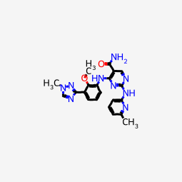 COc1c(Nc2nc(Nc3cccc(C)n3)ncc2C(N)=O)cccc1-c1ncn(C)n1